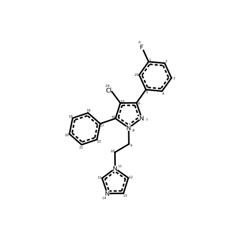 Fc1cccc(-c2nn(CCn3ccnc3)c(-c3ccccc3)c2Cl)c1